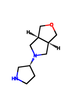 C1C[C@@H](N2C[C@H]3COC[C@H]3C2)CN1